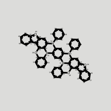 c1ccc(N2c3cc4c(cc3B3c5ccccc5Oc5c3c2cc2oc3ccccc3c52)B2c3ccccc3Oc3c2c(cc2oc5ccccc5c32)N4c2ccccc2)cc1